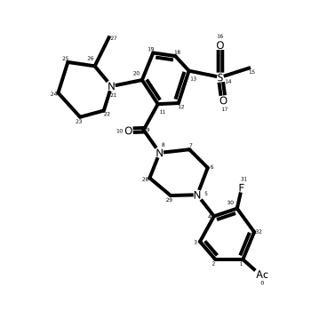 CC(=O)c1ccc(N2CCN(C(=O)c3cc(S(C)(=O)=O)ccc3N3CCCCC3C)CC2)c(F)c1